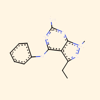 CCc1nn(C)c2nc(N)nc(Nc3ccccc3)c12